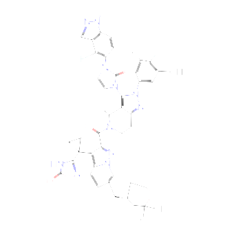 Cc1cc(-n2nc3c(c2-n2ccn(-c4ccc5c(cnn5C)c4F)c2=O)[C@H](C)N(C(=O)c2nn4cc(C[C@H]5CCOC(C)(C)C5)ccc4c2C2(c4noc(=O)[nH]4)CC2)CC3)cc(C)c1F